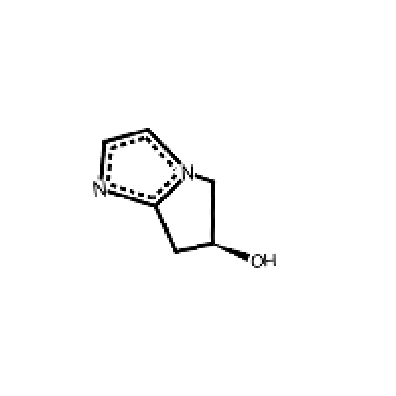 O[C@H]1Cc2nccn2C1